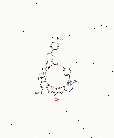 COc1cc2c3c(c1OC)Oc1cc4c(cc1CO)CCN(C)[C@H]4Cc1ccc(cc1)Oc1cc(ccc1OC(=O)c1ccc([N+](=O)[O-])cc1)C[C@H]3N(C)CC2